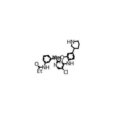 CCC(=O)Nc1cccc(Nc2ncc(Cl)c(Nc3ccc(C4CCCNC4)cc3OC)n2)c1